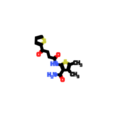 Cc1sc(NC(=O)CCC(=O)c2cccs2)c(C(N)=O)c1C